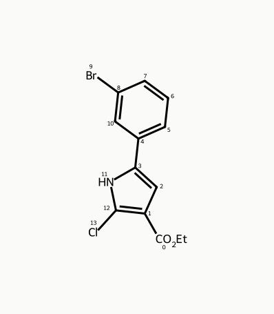 CCOC(=O)c1cc(-c2cccc(Br)c2)[nH]c1Cl